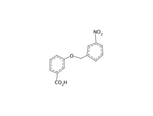 O=C(O)c1cccc(OCc2cccc([N+](=O)[O-])c2)c1